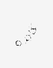 O=c1ccn(-c2cnc(Oc3ccccc3)nc2)c(=O)[nH]1